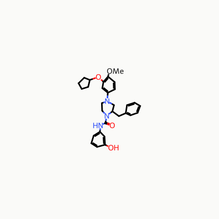 COc1ccc(N2CCN(C(=O)Nc3cccc(O)c3)C(Cc3ccccc3)C2)cc1OC1CCCC1